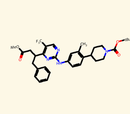 COC(=O)CC(Cc1ccccc1)c1nc(Nc2ccc(C3CCN(C(=O)OC(C)(C)C)CC3)c(C)c2)ncc1C(F)(F)F